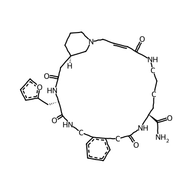 NC(=O)[C@@H]1CCCCNC(=O)/C=C/CN2CCC[C@H](CC(=O)N[C@@H](Cc3ccco3)C(=O)NCc3ccccc3CC(=O)N1)C2